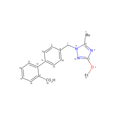 CCOc1nc(C(C)CC)n(Cc2ccc(-c3ccccc3C(=O)O)cc2)n1